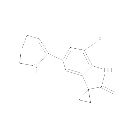 O=C1Nc2c(F)cc(C3=CCCCN3)cc2C12CC2